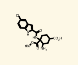 CC(C)(C)OC(=O)C1(NC(=O)c2cc3cc(Cl)ccc3[nH]2)CCC(C(=O)O)CC1N